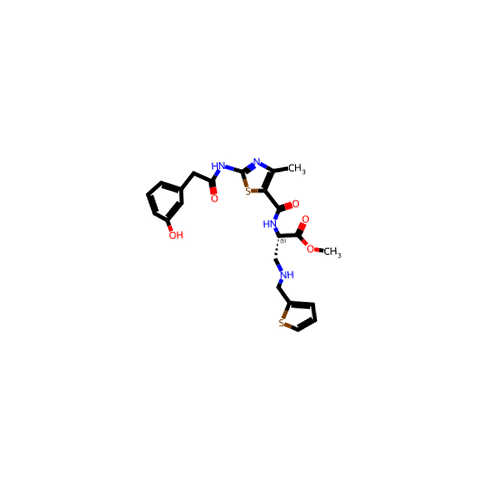 COC(=O)[C@H](CNCc1cccs1)NC(=O)c1sc(NC(=O)Cc2cccc(O)c2)nc1C